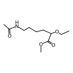 CCOC(CCCCNC(C)=O)C(=O)OC